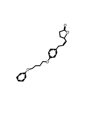 O=C1CCC(/C=C\Cc2ccc(OCCCCOc3ccccc3)cc2)O1